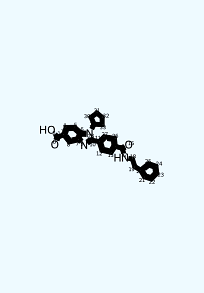 O=C(O)c1ccc2c(c1)nc(-c1ccc(C(=O)NCCc3ccccc3)cc1)n2C1CCCC1